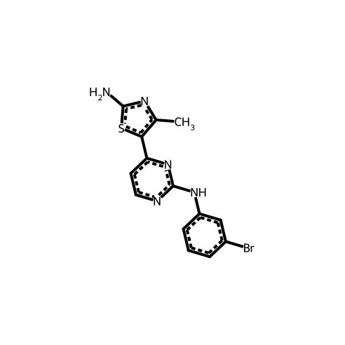 Cc1nc(N)sc1-c1ccnc(Nc2cccc(Br)c2)n1